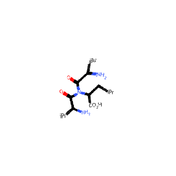 CCC(C)C(N)C(=O)N(C(=O)C(N)C(C)C)C(CC(C)C)C(=O)O